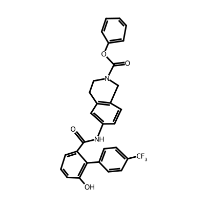 O=C(Nc1ccc2c(c1)CCN(C(=O)Oc1ccccc1)C2)c1cccc(O)c1-c1ccc(C(F)(F)F)cc1